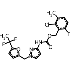 Cc1ccc(F)c(COC(=O)Nc2ccn(Cc3ccc(C(C)(F)F)o3)n2)c1Cl